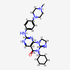 CN1CCN(c2ccc(Nc3ncc4c(n3)N3CCN=C3N(C3CCCCC3)C4=O)cc2)CC1